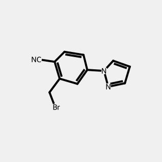 N#Cc1ccc(-n2cccn2)cc1CBr